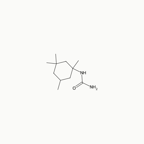 CC1CC(C)(C)CC(C)(NC(N)=O)C1